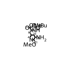 COCc1ncc(C[C@H](NC(=O)OC(C)(C)C)C(=O)OC)cc1N